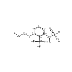 CSOCc1cccc(N(C)S(C)(=O)=O)c1C(F)(F)F